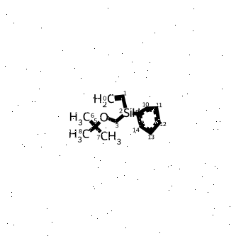 C=C[SiH](COC(C)(C)C)c1ccccc1